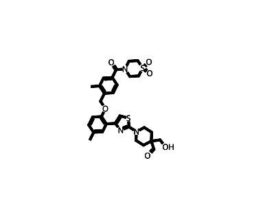 Cc1ccc(OCc2ccc(C(=O)N3CCS(=O)(=O)CC3)cc2C)c(-c2csc(N3CCC(C=O)(CO)CC3)n2)c1